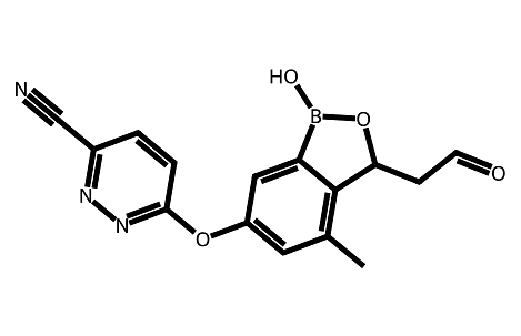 Cc1cc(Oc2ccc(C#N)nn2)cc2c1C(CC=O)OB2O